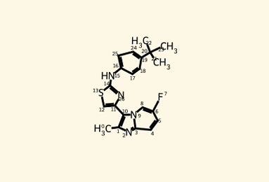 Cc1nc2ccc(F)cn2c1-c1csc(Nc2ccc(C(C)(C)C)cc2)n1